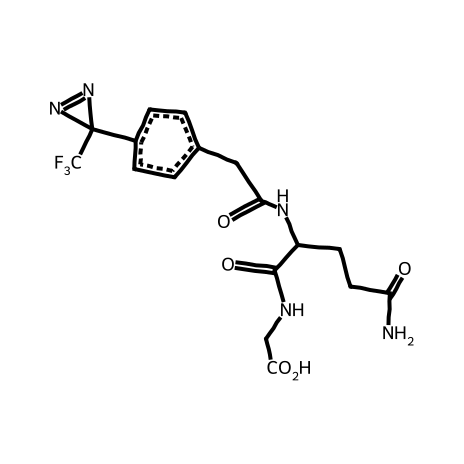 NC(=O)CCC(NC(=O)Cc1ccc(C2(C(F)(F)F)N=N2)cc1)C(=O)NCC(=O)O